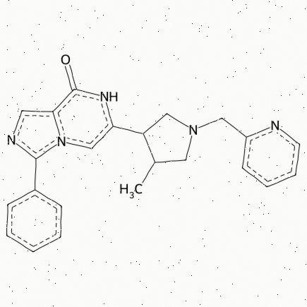 CC1CN(Cc2ccccn2)CC1c1cn2c(-c3ccccc3)ncc2c(=O)[nH]1